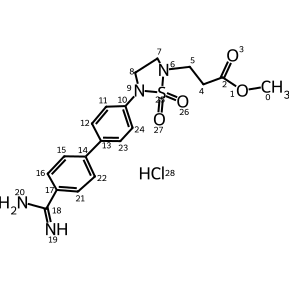 COC(=O)CCN1CCN(c2ccc(-c3ccc(C(=N)N)cc3)cc2)S1(=O)=O.Cl